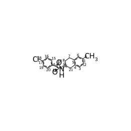 Cc1[c]cc2c(c1)CC[C@@H](NS(=O)(=O)c1ccc(Cl)cc1)C2